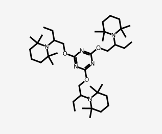 CCC(COc1nc(OCC(CC)N2C(C)(C)CCCC2(C)C)nc(OCC(CC)N2C(C)(C)CCCC2(C)C)n1)N1C(C)(C)CCCC1(C)C